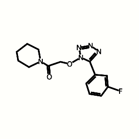 O=C(COn1nnnc1-c1cccc(F)c1)N1CCCCC1